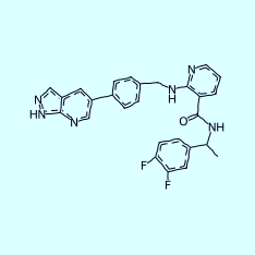 CC(NC(=O)c1cccnc1NCc1ccc(-c2cnc3[nH]ncc3c2)cc1)c1ccc(F)c(F)c1